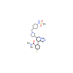 CCN(C(=O)c1cc(F)ccc1-c1cc(C2CCN(CC3CCC(NS(=O)(=O)CC)CC3)C2)cn2cncc12)C(C)C